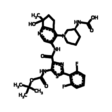 CC(C)(C)OC(=O)Nc1sc(-c2c(F)cccc2F)nc1C(=O)Nc1cnc2c(c1N1CCC[C@H](NC(=O)O)C1)CCC2(C)O